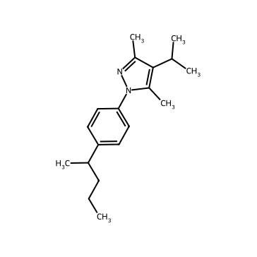 CCCC(C)c1ccc(-n2nc(C)c(C(C)C)c2C)cc1